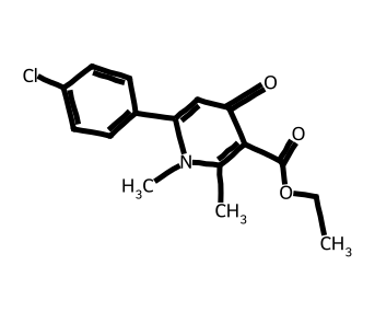 CCOC(=O)c1c(C)n(C)c(-c2ccc(Cl)cc2)cc1=O